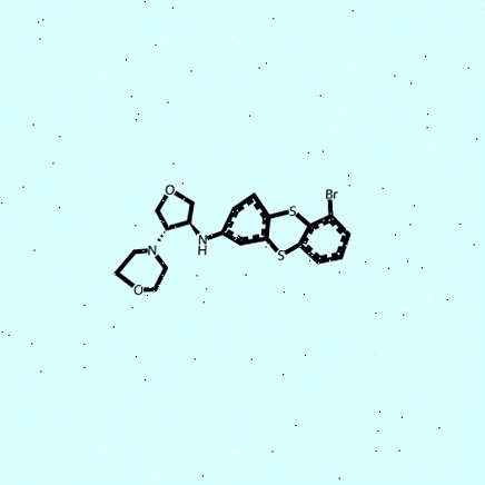 Brc1cccc2c1Sc1ccc(N[C@@H]3COC[C@H]3N3CCOCC3)cc1S2